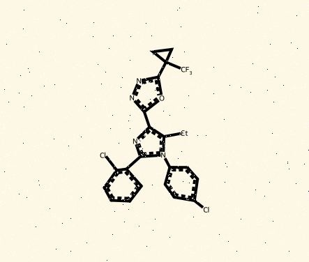 CCc1c(-c2nnc(C3(C(F)(F)F)CC3)o2)nc(-c2ccccc2Cl)n1-c1ccc(Cl)cc1